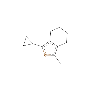 Cc1sc(C2CC2)c2c1CCCC2